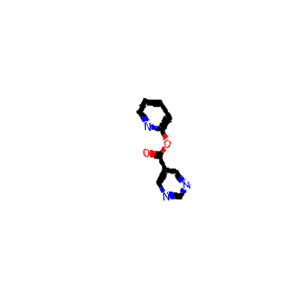 O=C(Oc1ccccn1)c1cncnc1